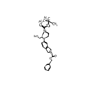 CC(C)(C)OC(=O)N1CCN(c2ccc3c(c2)CN(C(=O)OCc2ccccc2)C3)C(CO)C1